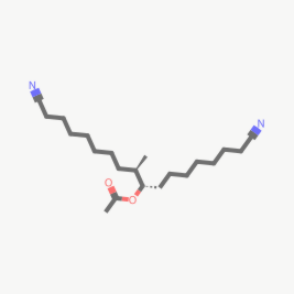 CC(=O)O[C@@H](CCCCCCCC#N)[C@H](C)CCCCCCCC#N